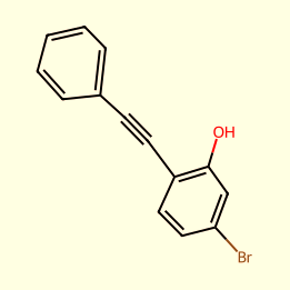 Oc1cc(Br)ccc1C#Cc1ccccc1